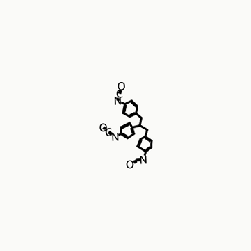 O=C=Nc1ccc(CC(Cc2ccc(N=C=O)cc2)c2ccc(N=C=O)cc2)cc1